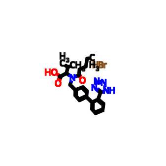 Br.CCCCC(=O)N(Cc1ccc(-c2ccccc2-c2nnn[nH]2)cc1)C(C(=O)O)C(C)C